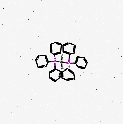 C[C](=O)[Ni]([C](C)=O)([PH](c1ccccc1)(c1ccccc1)c1ccccc1)[PH](c1ccccc1)(c1ccccc1)c1ccccc1